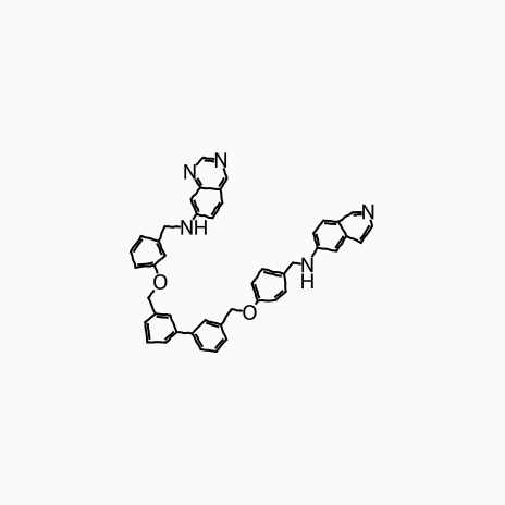 c1cc(CNc2ccc3cncnc3c2)cc(OCc2cccc(-c3cccc(COc4ccc(CNc5ccc6cnccc6c5)cc4)c3)c2)c1